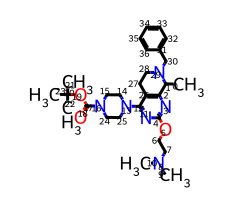 CC1c2nc(OCCN(C)C)nc(N3CCN(C(=O)OC(C)(C)C)CC3)c2CCN1Cc1ccccc1